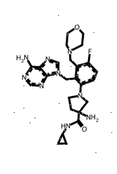 Nc1ncnc2c1ncn2Cc1c(N2CCC(N)(C(=O)NC3CC3)C2)ccc(F)c1CN1CCOCC1